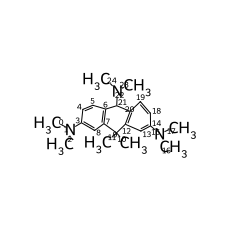 CN(C)c1ccc2c(c1)C(C)(C)c1cc(N(C)C)ccc1C2N(C)C